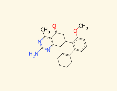 COc1cccc(C2=CCCCC2)c1C1CC(=O)c2c(C)nc(N)nc2C1